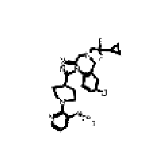 FC(F)(F)Oc1cccnc1N1CCC(c2nnc3n2-c2ccc(Cl)cc2CN(CC(F)(F)C2CC2)C3)CC1